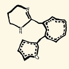 c1coc(-c2ccccc2C2=NCCCN2)c1